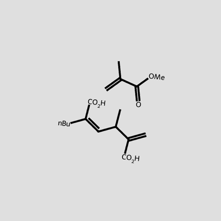 C=C(C(=O)O)C(C)C=C(CCCC)C(=O)O.C=C(C)C(=O)OC